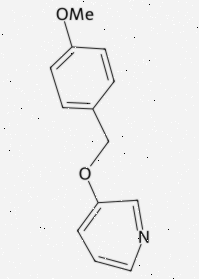 COc1ccc(COc2cccnc2)cc1